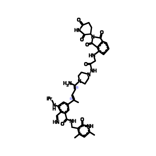 C/C(=C\C=C(/N)N1CCN(NC(=O)CNc2cccc3c2C(=O)N(C2CCC(=O)NC2=O)C3=O)CC1)c1cc(NC(C)C)c(C=N)c(C(=O)NCc2c(C)cc(C)[nH]c2=O)c1